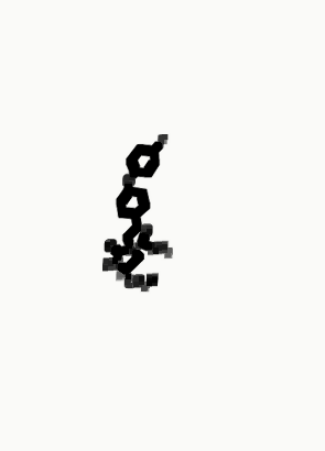 NC(=O)[N+]1(CCc2ccc(Oc3ccc(F)cc3)cc2)C[C@H](C(=O)O)NC1=O